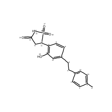 Cc1ccc(CCc2ccc(N3CC(=O)NS3(=O)=O)c(O)c2)cc1